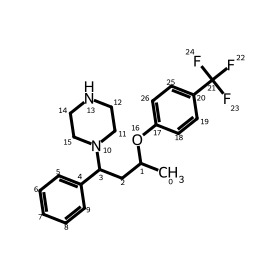 CC(CC(c1ccccc1)N1CCNCC1)Oc1ccc(C(F)(F)F)cc1